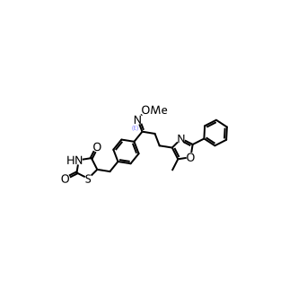 CO/N=C(\CCc1nc(-c2ccccc2)oc1C)c1ccc(CC2SC(=O)NC2=O)cc1